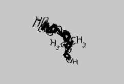 Cc1cc(OCC2CCC(O)CC2)cc(C)c1-c1cccc(COc2ccc3c(c2)OCC3CC(=O)O)c1